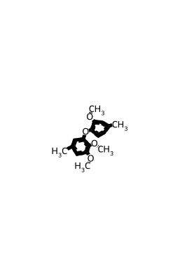 COc1cc(C)ccc1Oc1cc(C)cc(OC)c1OC